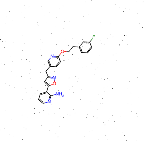 Nc1ncccc1-c1cc(Cc2ccc(OCCc3cccc(F)c3)nc2)no1